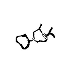 CC(C)N1CCN(c2ccccc2)CC1C